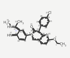 CCOc1ccc2cn(C3=C/C(=C(\C)NC)C(=N)C=C3)c(=O)c(-c3ccc(Cl)cc3)c2n1